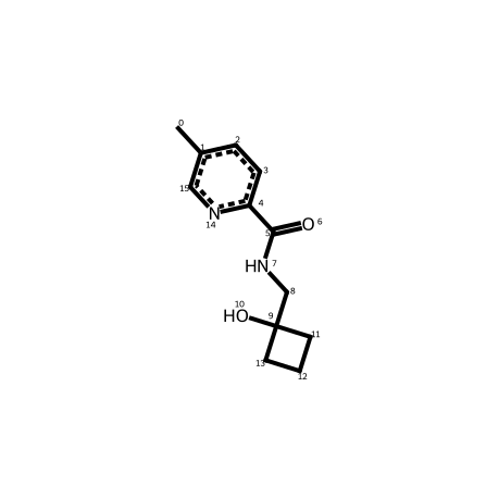 Cc1ccc(C(=O)NCC2(O)CCC2)nc1